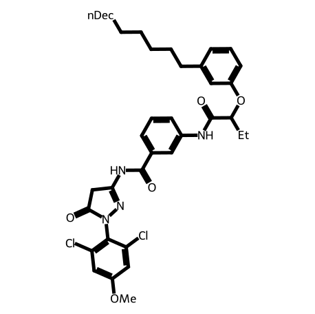 CCCCCCCCCCCCCCCc1cccc(OC(CC)C(=O)Nc2cccc(C(=O)NC3=NN(c4c(Cl)cc(OC)cc4Cl)C(=O)C3)c2)c1